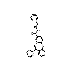 O=C(NNCc1ccccc1)c1ccc2c(c1)N=C(c1ccccn1)c1ccccc1S2